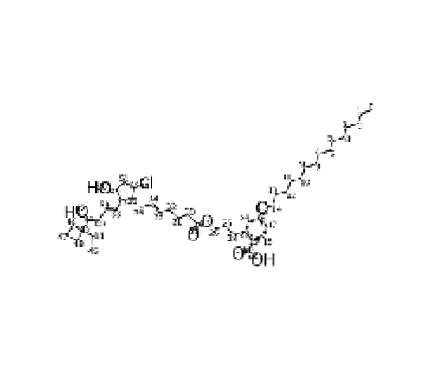 CCCCCCCCCCCCCCCOc1ccc(C(=O)O)c(CCCOC(=O)CCCC=CC[C@@H]2[C@@H](C=CC[C@H](O)C3(CC)CCC3)[C@H](O)C[C@H]2Cl)c1